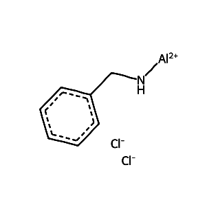 [Al+2][NH]Cc1ccccc1.[Cl-].[Cl-]